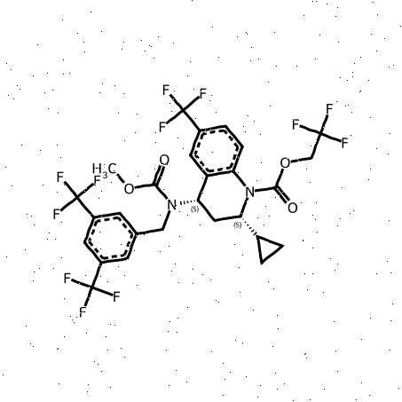 COC(=O)N(Cc1cc(C(F)(F)F)cc(C(F)(F)F)c1)[C@H]1C[C@@H](C2CC2)N(C(=O)OCC(F)(F)F)c2ccc(C(F)(F)F)cc21